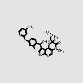 COCC1(C)Nc2c(cnc3[nH]cc(C(O)c4ccc(Oc5cc(C)ccn5)cc4Cl)c23)N(C)C1=O